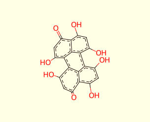 O=c1cc(O)c2c3c(O)cc(=O)c4c(O)cc(O)c(c5c(O)cc(O)c1c52)c43